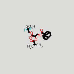 C=C(C)C(=O)OC(COC(=O)C12CC3CC(CC(C3)C1)C2)C(=O)OCC(F)(F)S(=O)(=O)O